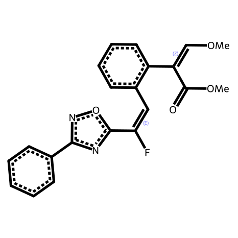 CO/C=C(\C(=O)OC)c1ccccc1/C=C(/F)c1nc(-c2ccccc2)no1